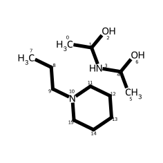 CC(O)NC(C)O.CCCN1CCCCC1